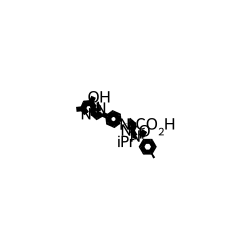 Cc1cc(O)n2nc(-c3ccc(-n4cc(C(=O)O)c(N(C(=O)[C@H]5CC[C@H](C)CC5)C(C)C)n4)cc3)cc2n1